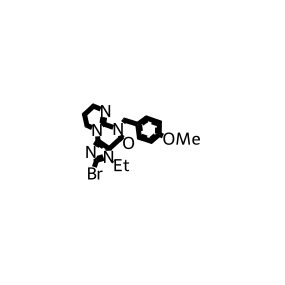 CCn1c(Br)nc2c1C(=O)N(Cc1ccc(OC)cc1)C1=NCCCN12